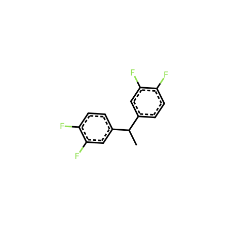 CC(c1ccc(F)c(F)c1)c1ccc(F)c(F)c1